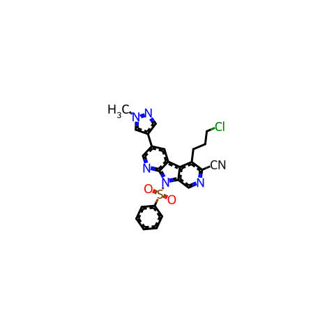 Cn1cc(-c2cnc3c(c2)c2c(CCCCl)c(C#N)ncc2n3S(=O)(=O)c2ccccc2)cn1